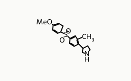 COC1=CCC(S(=O)(=O)c2ccc(C3CCNC3)c(C)c2)C=C1